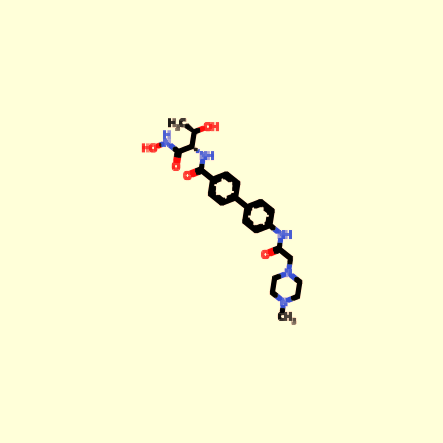 C[C@@H](O)[C@H](NC(=O)c1ccc(-c2ccc(NC(=O)CN3CCN(C)CC3)cc2)cc1)C(=O)NO